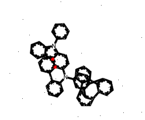 c1ccc(-c2ccccc2N(c2ccc3c(c2)-c2c4cccc2-c2cccc-3c2-c2ccccc2-4)c2ccc3c(c2)c2ccccc2n3-c2ccccc2)cc1